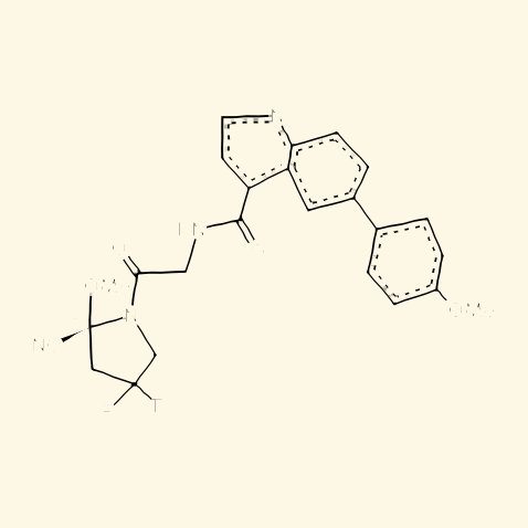 COc1ccc(-c2ccc3nccc(C(=O)NCC(=O)N4CC(F)(F)C[C@]4(C#N)OC)c3c2)cc1